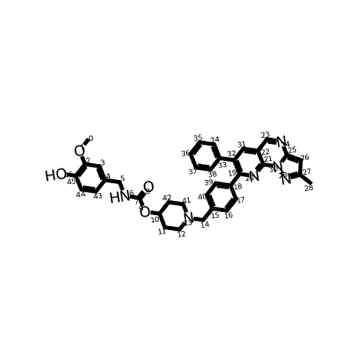 COc1cc(CNC(=O)OC2CCN(Cc3ccc(-c4nc5c(cnc6cc(C)nn65)cc4-c4ccccc4)cc3)CC2)ccc1O